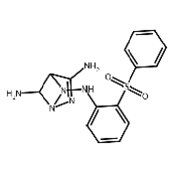 NC1=NN2C(N)C1N2Nc1ccccc1S(=O)(=O)c1ccccc1